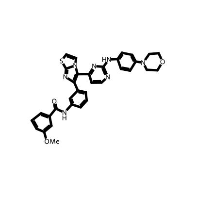 COc1cccc(C(=O)Nc2cccc(-c3nc4sccn4c3-c3ccnc(Nc4ccc(N5CCOCC5)cc4)n3)c2)c1